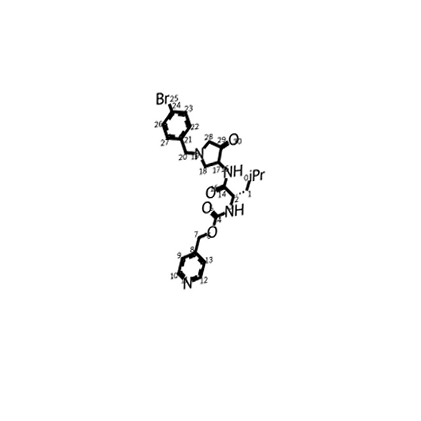 CC(C)C[C@H](NC(=O)OCc1ccncc1)C(=O)NC1CN(Cc2ccc(Br)cc2)CC1=O